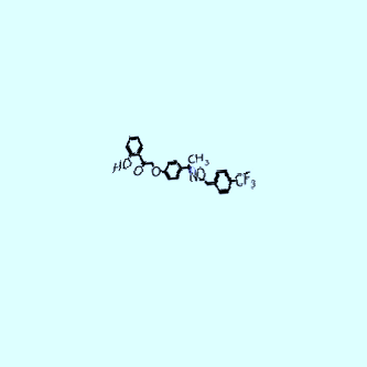 C/C(=N\OCc1ccc(C(F)(F)F)cc1)c1ccc(OCC(=O)c2ccccc2O)cc1